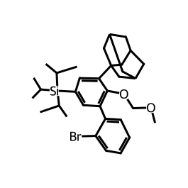 COCOc1c(-c2ccccc2Br)cc([Si](C(C)C)(C(C)C)C(C)C)cc1C12CC3CC(CC(C3)C1)C2